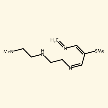 C=N/C=C(\C=N/CCNCCNC)SC